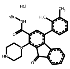 CCCCNC(=O)c1cc(-c2cccc(C)c2C)c2c(c1N1CCNCC1)C(=O)c1ccccc1-2.Cl